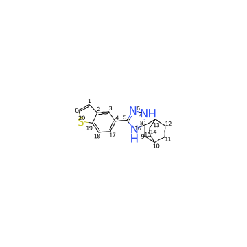 c1cc2cc(C3=NN[C@]4(CC5CCC4CC5)N3)ccc2s1